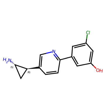 N[C@H]1C[C@@H]1c1ccc(-c2cc(O)cc(Cl)c2)nc1